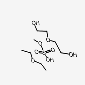 CCOCC.COS(=O)(=O)O.OCCOCCO